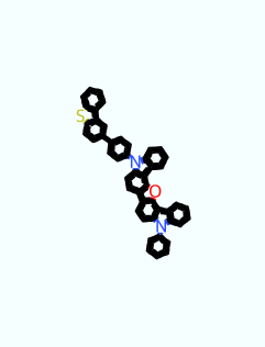 c1ccc(-n2c3ccccc3c3c4oc5c(ccc6c5c5ccccc5n6-c5ccc(-c6ccc7sc8ccccc8c7c6)cc5)c4ccc32)cc1